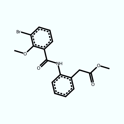 COC(=O)Cc1ccccc1NC(=O)c1cccc(Br)c1OC